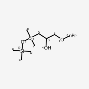 CC[CH]OCC(O)C[Si](C)(C)O[Si](C)(C)C